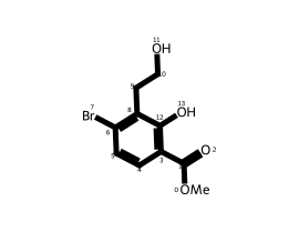 COC(=O)c1ccc(Br)c(CCO)c1O